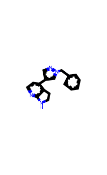 c1ccc(Cn2cc(-c3ccnc4c3CCN4)cn2)cc1